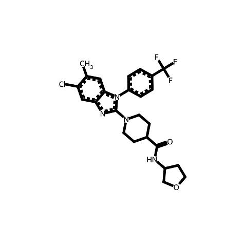 Cc1cc2c(cc1Cl)nc(N1CCC(C(=O)NC3CCOC3)CC1)n2-c1ccc(C(F)(F)F)cc1